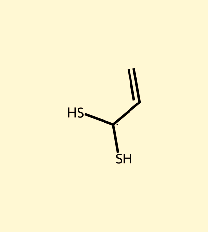 C=C[C](S)S